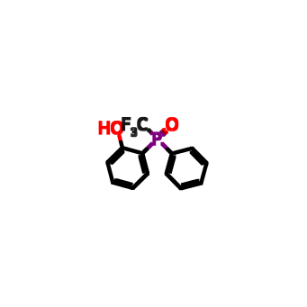 O=P(c1ccccc1)(c1ccccc1O)C(F)(F)F